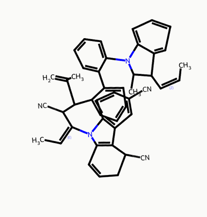 C=C(C)C(c1ccccc1-c1ccccc1N1c2ccccc2C(/C=C\C)C1C)C(C#N)/C(=C\C)n1c2c(c3cc(C#N)ccc31)C(C#N)CC=C2